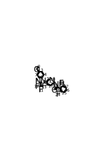 COc1ccc2c(c1)nc(C(F)(F)F)n2-c1ccc(NC(=O)c2c(F)cccc2F)nc1